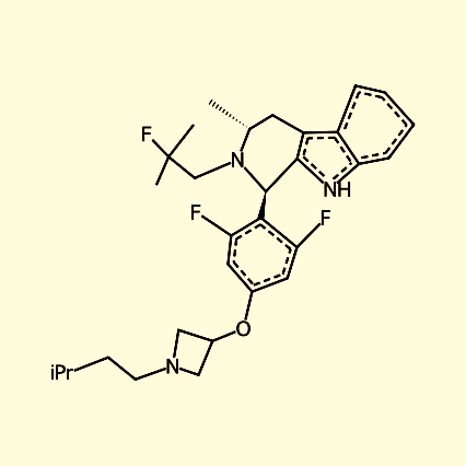 CC(C)CCN1CC(Oc2cc(F)c([C@@H]3c4[nH]c5ccccc5c4C[C@@H](C)N3CC(C)(C)F)c(F)c2)C1